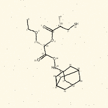 CCOC[C@H](OC(=O)[C@H](C)CS)C(=O)ONC12CC3CC(CC(C3)C1)C2